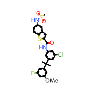 COc1cc(F)cc(C(C)(C)c2cc(Cl)cc(NC(=O)c3cc4cc(NS(C)(=O)=O)ccc4s3)c2)c1